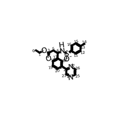 CCOC(=O)CC(N[S@+]([O-])c1ccc(C)cc1)c1cccc(-c2cnccn2)c1